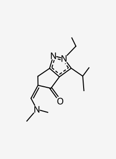 CCn1nc2c(c1C(C)C)C(=O)/C(=C\N(C)C)C2